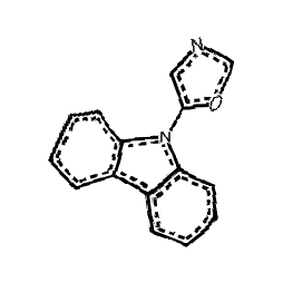 c1ccc2c(c1)c1ccccc1n2-c1cnco1